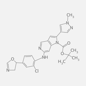 Cn1cc(-c2cc3cnc(Nc4ccc(C5CN=CO5)cc4Cl)cc3n2C(=O)OC(C)(C)C)cn1